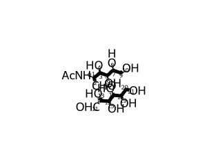 CC(=O)N[C@@H](C=O)[C@@H](O)[C@@H](O)[C@H](O)CO.O=C[C@@H](O)[C@@H](O)[C@H](O)[C@H](O)CO